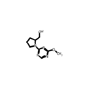 COc1ncnc(N2CCCC2CO)n1